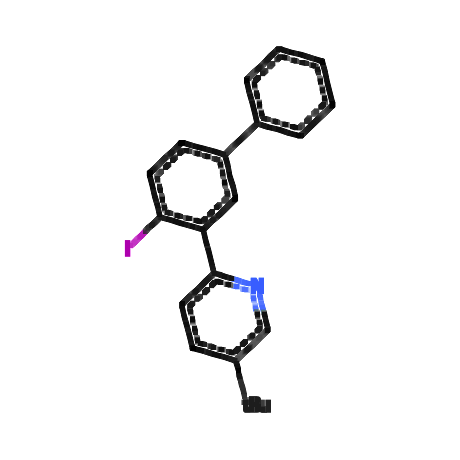 CC(C)(C)c1ccc(-c2cc(-c3ccccc3)ccc2I)nc1